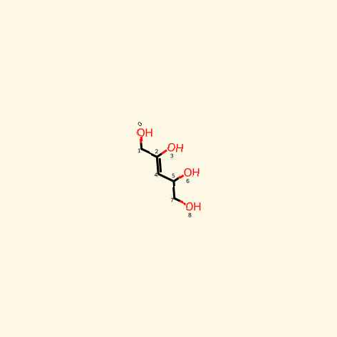 OCC(O)=CC(O)CO